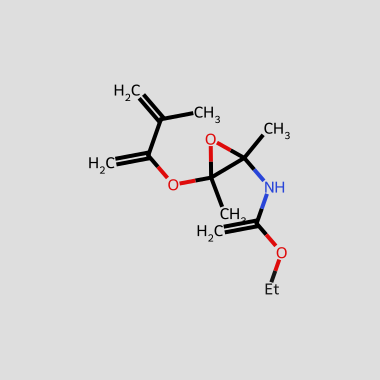 C=C(NC1(C)OC1(C)OC(=C)C(=C)C)OCC